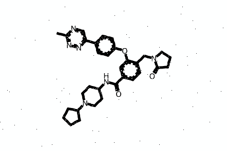 Cc1ncc(-c2ccc(Oc3cc(C(=O)NC4CCN(C5CCCC5)CC4)ccc3CN3CCCC3=O)cc2)nn1